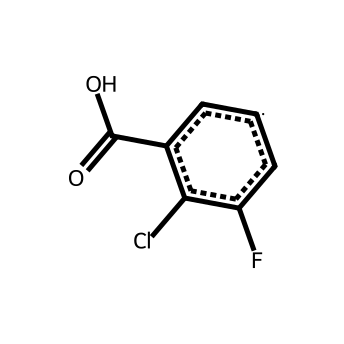 O=C(O)c1c[c]cc(F)c1Cl